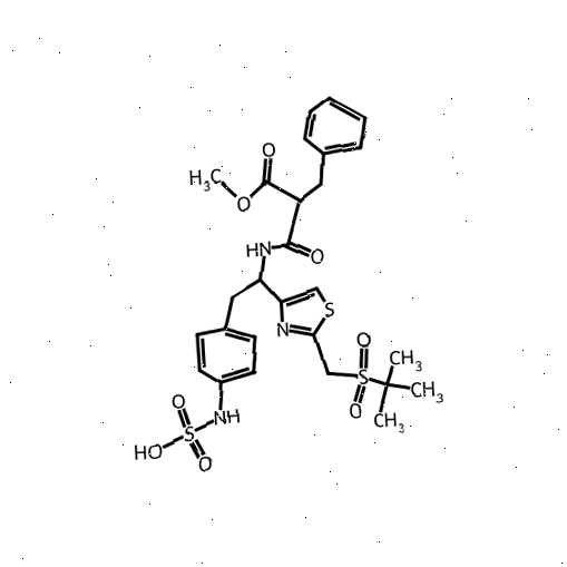 COC(=O)C(Cc1ccccc1)C(=O)NC(Cc1ccc(NS(=O)(=O)O)cc1)c1csc(CS(=O)(=O)C(C)(C)C)n1